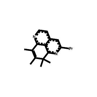 CC1=C(C)C(C)(C)c2nc(C(C)C)cc3ccnc1c23